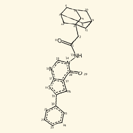 O=C(CC12CC3CC(CC(C3)C1)C2)Nn1cnc2sc(-c3ccccc3)cc2c1=O